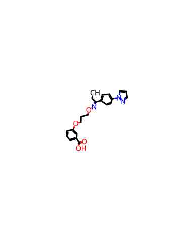 CC/C(=N\OCCCOc1cccc(C(=O)O)c1)c1ccc(-n2cccn2)cc1